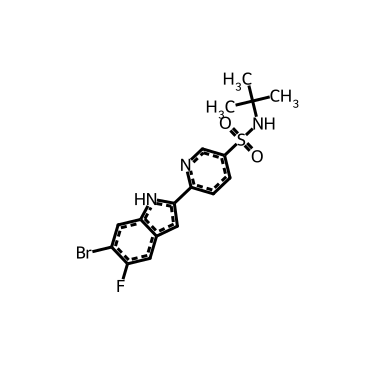 CC(C)(C)NS(=O)(=O)c1ccc(-c2cc3cc(F)c(Br)cc3[nH]2)nc1